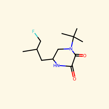 CC(CF)CC1CN(C(C)(C)C)C(=O)C(=O)N1